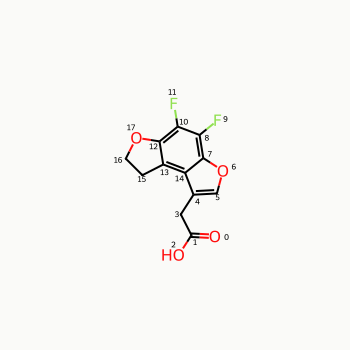 O=C(O)Cc1coc2c(F)c(F)c3c(c12)CCO3